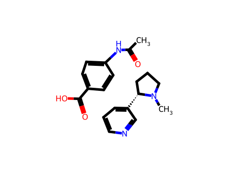 CC(=O)Nc1ccc(C(=O)O)cc1.CN1CCC[C@H]1c1cccnc1